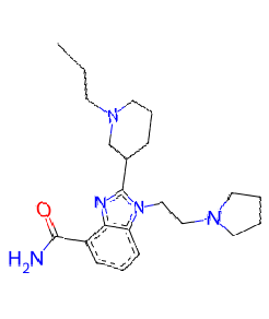 CCCN1CCCC(c2nc3c(C(N)=O)cccc3n2CCN2CCCC2)C1